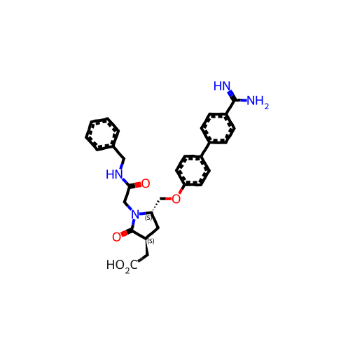 N=C(N)c1ccc(-c2ccc(OC[C@@H]3C[C@@H](CC(=O)O)C(=O)N3CC(=O)NCc3ccccc3)cc2)cc1